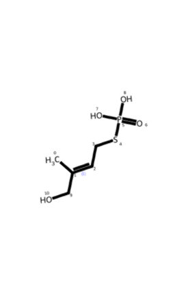 C/C(=C\CSP(=O)(O)O)CO